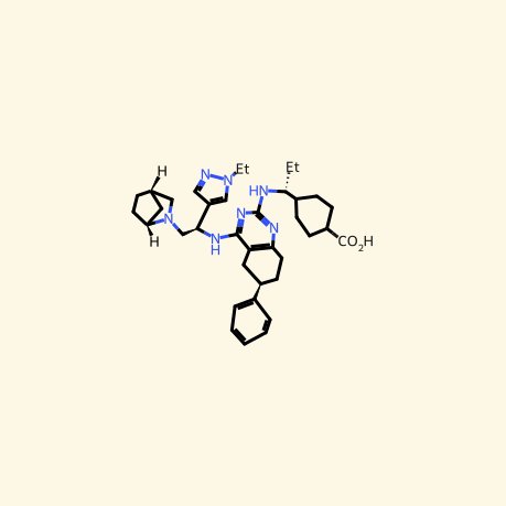 CC[C@@H](Nc1nc2c(c(N[C@@H](CN3C[C@H]4CC[C@@H]3C4)c3cnn(CC)c3)n1)C[C@H](c1ccccc1)CC2)C1CCC(C(=O)O)CC1